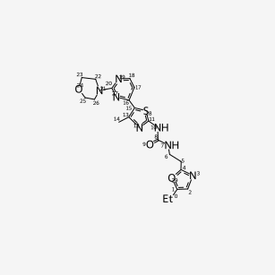 CCc1cnc(CCNC(=O)Nc2nc(C)c(-c3ccnc(N4CCOCC4)n3)s2)o1